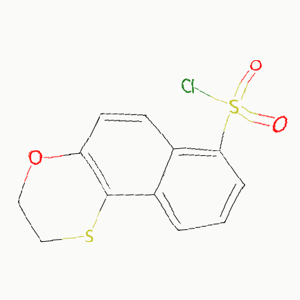 O=S(=O)(Cl)c1cccc2c3c(ccc12)OCCS3